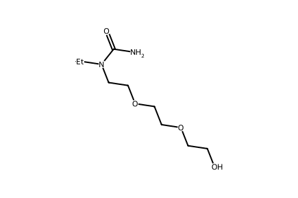 C[CH]N(CCOCCOCCO)C(N)=O